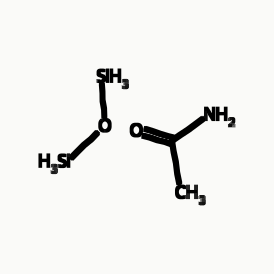 CC(N)=O.[SiH3]O[SiH3]